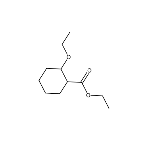 CCOC(=O)C1CCCCC1OCC